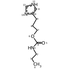 CCCNC(=O)OCCCc1c[nH]cn1